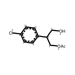 CC(=O)OCC(CO)c1ccc(Cl)cc1